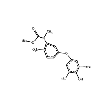 CN(C(=O)OC(C)(C)C)c1cc(Oc2cc(C(C)(C)C)c(O)c(C(C)(C)C)c2)ccc1[N+](=O)[O-]